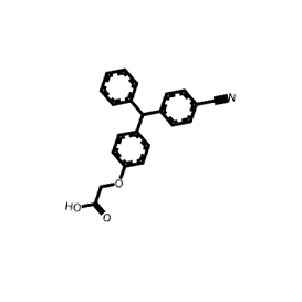 N#Cc1ccc(C(c2ccccc2)c2ccc(OCC(=O)O)cc2)cc1